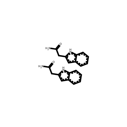 NC(=O)Cc1cc2ccccc2[nH]1.NC(=O)Cc1cc2ccccc2[nH]1